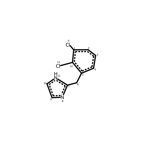 Clc1cccc(Cc2ncc[nH]2)c1Cl